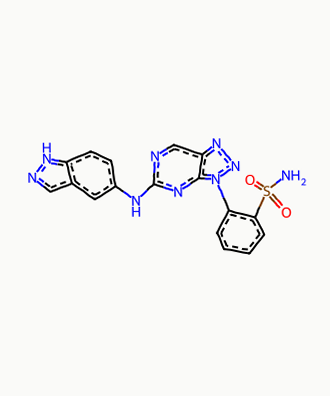 NS(=O)(=O)c1ccccc1-n1nnc2cnc(Nc3ccc4[nH]ncc4c3)nc21